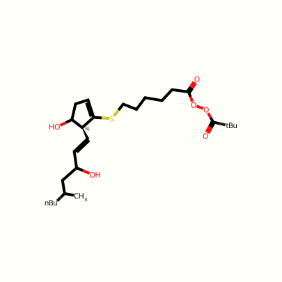 CCCCC(C)CC(O)C=C[C@@H]1C(SCCCCCC(=O)OOC(=O)C(C)(C)C)=CCC1O